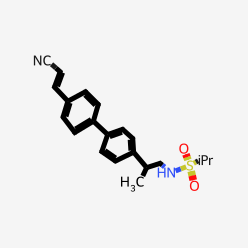 CC(CNS(=O)(=O)C(C)C)c1ccc(-c2ccc(C=CC#N)cc2)cc1